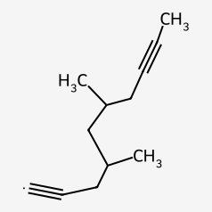 [C]#CCC(C)CC(C)CC#CC